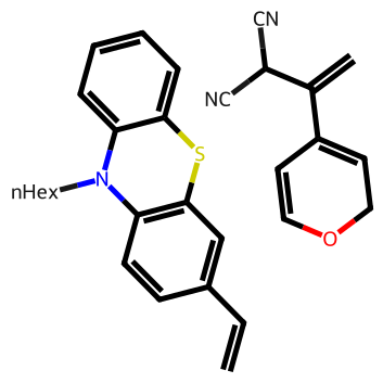 C=C(C1=CCOC=C1)C(C#N)C#N.C=Cc1ccc2c(c1)Sc1ccccc1N2CCCCCC